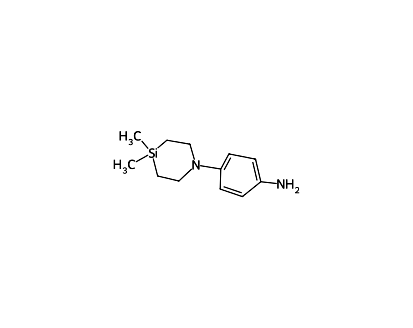 C[Si]1(C)CCN(c2ccc(N)cc2)CC1